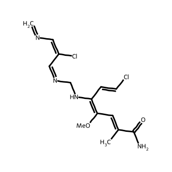 C=N/C=C(Cl)\C=N/CNC(/C=C/Cl)=C(/C=C(\C)C(N)=O)OC